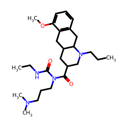 CCCN1CC(C(=O)N(CCCN(C)C)C(=O)NCC)CC2Cc3c(cccc3OC)CC21